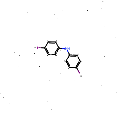 Ic1ccc(Nc2ccc(I)cc2)cc1